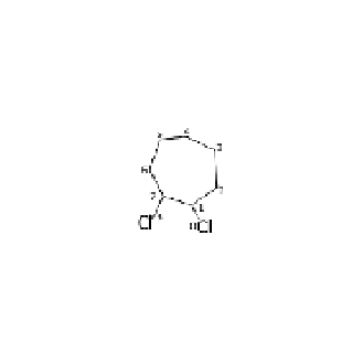 ClC1CCCCCC1Cl